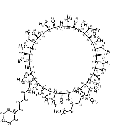 CC[C@@H]1NC(=O)[C@H]([C@H](O)[C@H](C)CCCCC(=O)O)N(C)C(=O)[C@H](C(C)C)N(C)C(=O)[C@H](CC(C)C)N(C)C(=O)[C@H](CC(C)C)N(C)C(=O)[C@@H](C)NC(=O)[C@H](C)NC(=O)[C@H](CC(C)C)N(C)C(=O)[C@H](C(C)C)NC(=O)[C@H]([C@@H](C)OCCCCN2CCOCC2)N(C)C(=O)[C@@H](C)N(C)C1=O